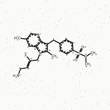 Cc1cnc2c(Cc3ccc(S(=O)(=O)N(C)C)cc3)c(C)n(CC(F)=CCN)c2c1